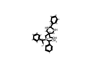 CC(c1ccccc1)N(CC1(CO)CNC(c2ccccc2)NC1)C(I)c1ccccc1